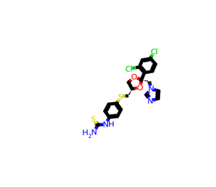 NC(=S)Nc1ccc(SC[C@@H]2CO[C@@](Cn3ccnc3)(c3ccc(Cl)cc3Cl)O2)cc1